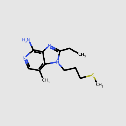 CCc1nc2c(N)ncc(C)c2n1CCCSC